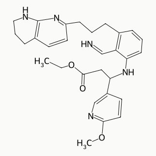 CCOC(=O)CC(Nc1cccc(CCCc2ccc3c(n2)NCCC3)c1C=N)c1ccc(OC)nc1